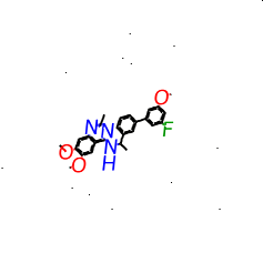 COc1cc(F)cc(-c2cccc(C(C)Nc3nc(C)nc4cc(OC)c(OC)cc34)c2)c1